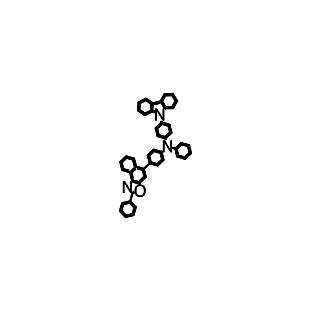 c1ccc(-c2nc3c(cc(-c4ccc(N(c5ccccc5)c5ccc(-n6c7ccccc7c7ccccc76)cc5)cc4)c4ccccc43)o2)cc1